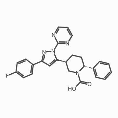 O=C(O)N1C[C@@H](c2cc(-c3ccc(F)cc3)nn2-c2ncccn2)CC[C@@H]1c1ccccc1